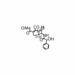 COC(=O)C1=C(C(=O)O)N2C(=O)C(NC(=O)C(O)c3ccccc3)[C@@H]2SC1